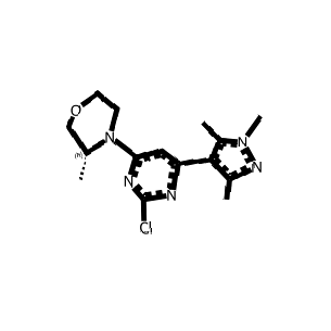 Cc1nn(C)c(C)c1-c1cc(N2CCOC[C@H]2C)nc(Cl)n1